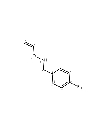 C=CONCc1ccc(F)cc1